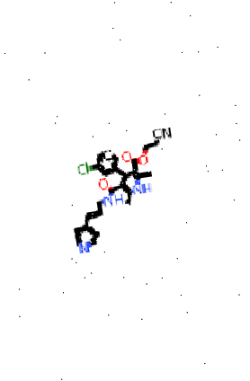 CC1=C(C(=O)NC/C=C/c2ccncc2)C(c2cccc(Cl)c2)C(C(=O)OCCC#N)=C(C)N1